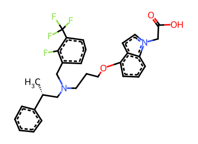 C[C@H](CN(CCCOc1cccc2c1ccn2CC(=O)O)Cc1cccc(C(F)(F)F)c1F)c1ccccc1